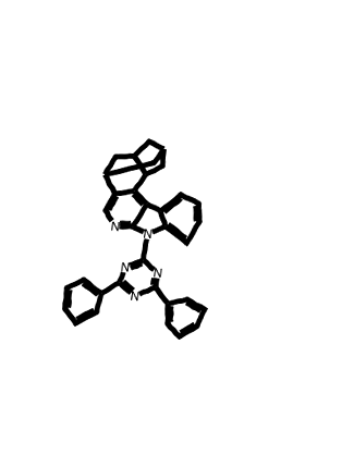 c1ccc(-c2nc(-c3ccccc3)nc(-n3c4ccccc4c4c5c(cnc43)C3CC4CC(C3)C5C4)n2)cc1